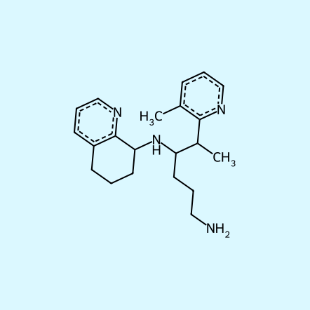 Cc1cccnc1C(C)C(CCCN)NC1CCCc2cccnc21